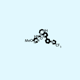 COc1cc(NC(=O)N2CCCNc3ccc(-c4cccc(N5CCC(C(F)(F)F)C5)c4)nc32)ncn1